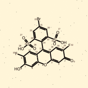 O=c1cc2oc3cc(O)c(F)cc3c(-c3c(S(=O)(=O)O)cc(Br)cc3S(=O)(=O)O)c-2cc1F